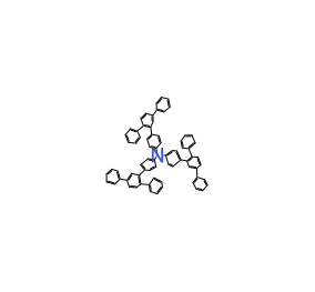 c1ccc(-c2ccc(-c3ccccc3)c(-c3ccc(N(c4ccc(-c5cc(-c6ccccc6)ccc5-c5ccccc5)cc4)c4ccc(-c5cc(-c6ccccc6)ccc5-c5ccccc5)cc4)cc3)c2)cc1